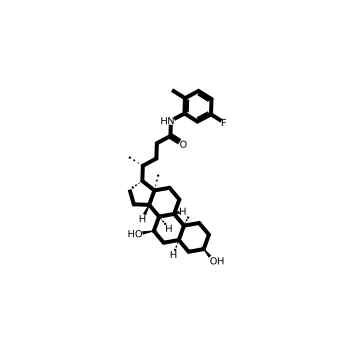 Cc1ccc(F)cc1NC(=O)CC[C@@H](C)[C@H]1CC[C@H]2[C@@H]3[C@H](O)C[C@@H]4C[C@H](O)CC[C@]4(C)[C@H]3CC[C@]12C